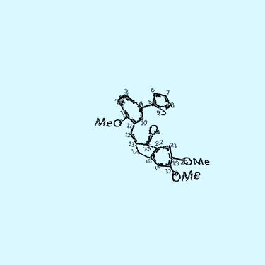 COc1ccc(-c2cccs2)cc1C=C1Cc2cc(OC)c(OC)cc2C1=O